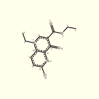 CCOC(=O)c1cn(CC)c2ccc(Cl)nc2c1=O